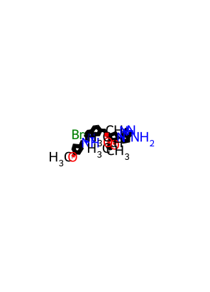 COc1ccc(CNc2nc3cc(CCC4(C)C[C@@H](n5ccc6c(N)ncnc65)[C@@H]5OC(C)(C)O[C@@]54C)ccc3cc2Br)cc1